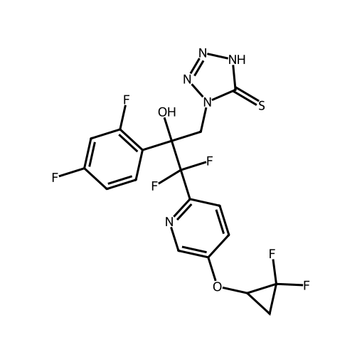 OC(Cn1nn[nH]c1=S)(c1ccc(F)cc1F)C(F)(F)c1ccc(OC2CC2(F)F)cn1